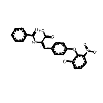 O=C(O)/C(=C\c1ccc(Oc2c(Cl)cccc2[N+](=O)[O-])cc1)NC(=O)c1ccccc1